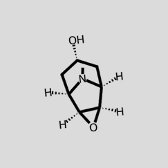 CN1[C@@H]2C[C@H](O)C[C@H]1[C@H]1O[C@H]12